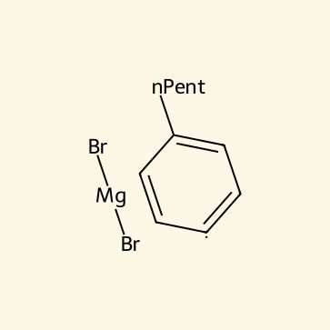 CCCCCc1cc[c]cc1.[Br][Mg][Br]